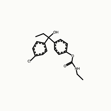 CCNC(=O)Oc1ccc(C(O)(CC)c2ccc(Cl)cc2)cc1